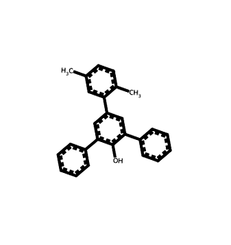 Cc1ccc(C)c(-c2cc(-c3ccccc3)c(O)c(-c3ccccc3)c2)c1